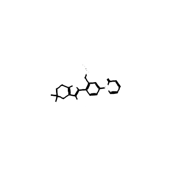 CC1(C)CCc2sc(-c3ccc(-n4ccccc4=O)cc3CNN)c(C(=O)O)c2C1